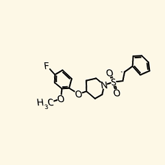 COc1cc(F)ccc1OC1CCN(S(=O)(=O)C[CH]c2ccccc2)CC1